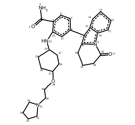 NC(=O)c1ccc(-c2c3n(c4ccccc24)C(=O)CCC3)cc1NC1CCC(OCCN2CCCC2)CC1